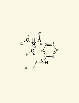 CCCNc1ccccc1.CO[SiH](OC)OC